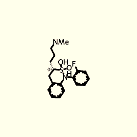 CNCCC[C@H]1Cc2ccccc2N(c2ccccc2F)S1(O)O